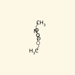 CCCCc1ccc(-c2ccc(OCC3CCC(CCCC)CC3)cc2)nc1